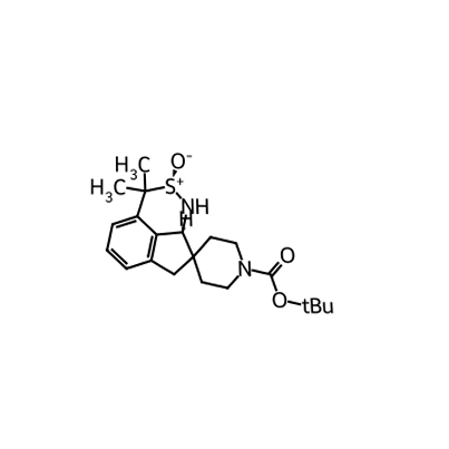 CC(C)(C)OC(=O)N1CCC2(CC1)Cc1cccc3c1[C@H]2N[S@+]([O-])C3(C)C